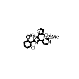 CSc1nccc(-c2nc(-c3c(Cl)cccc3Cl)n(O)c2-c2sccc2C)n1